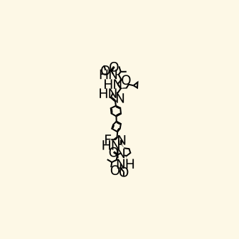 COC(=O)N[C@H](C(=O)N[C@@H](CCC1CC1)c1nc(-c2ccc(-c3ccc(-c4nc([C@@H]5CC[C@H](C)N5C(=O)[C@@H](NC(=O)OC)C(C)C)[nH]c4F)cc3)cc2)c[nH]1)C(C)C